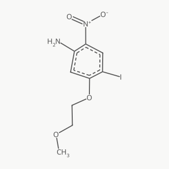 COCCOc1cc(N)c([N+](=O)[O-])cc1I